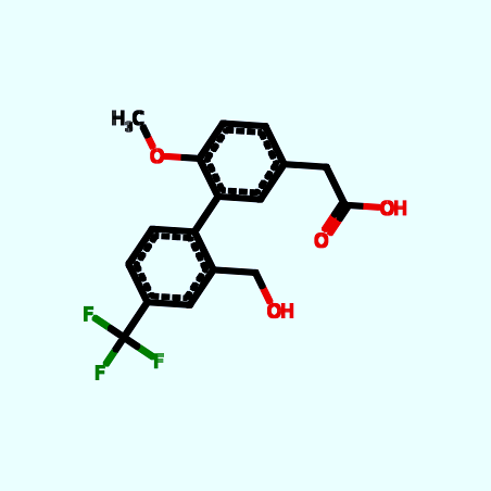 COc1ccc(CC(=O)O)cc1-c1ccc(C(F)(F)F)cc1CO